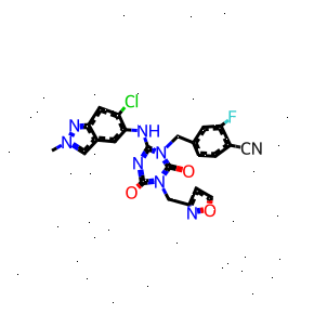 Cn1cc2cc(Nc3nc(=O)n(Cc4ccon4)c(=O)n3Cc3ccc(C#N)c(F)c3)c(Cl)cc2n1